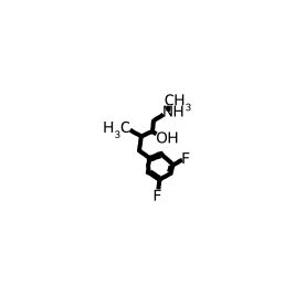 CNCC(O)C(C)Cc1cc(F)cc(F)c1